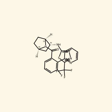 O=C(c1cccc(F)c1-c1ncccn1)N1[C@@H]2CC[C@H]1[C@H](Nc1nnc(C(F)(F)F)s1)C2